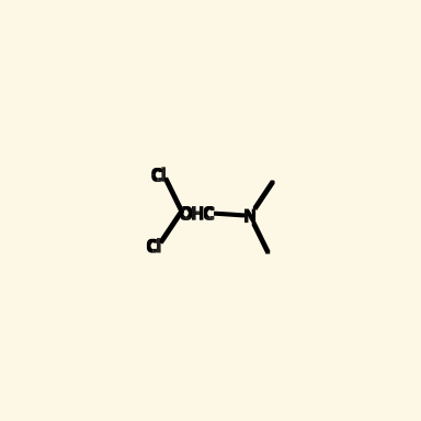 CN(C)C=O.ClCCl